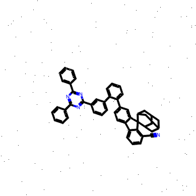 N#Cc1cccc2c1C1(c3cc(-c4ccccc4-c4cccc(-c5nc(-c6ccccc6)nc(-c6ccccc6)n5)c4)ccc3-2)C2CC3CC(C2)CC1C3